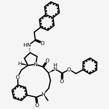 CN1CC[C@H](NC(=O)OCc2ccccc2)C(=O)N2C[C@@H](NC(=O)Cc3ccc4ccccc4c3)C[C@H]2COc2cccc(c2)C1=O